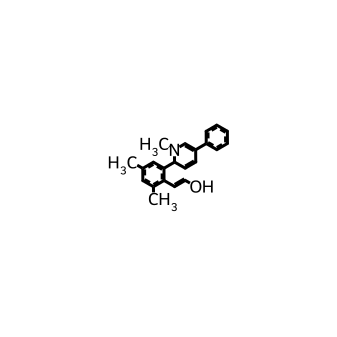 Cc1cc(C)c(/C=C/O)c(C2C=CC(c3ccccc3)=CN2C)c1